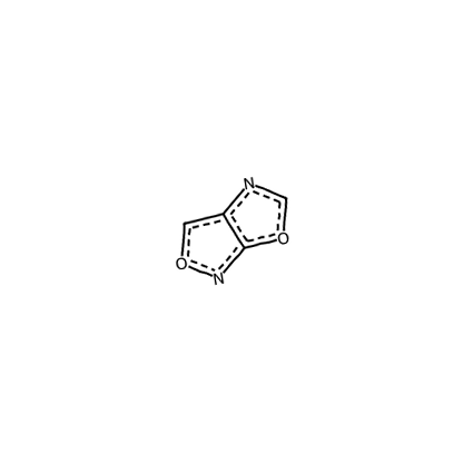 c1nc2conc2o1